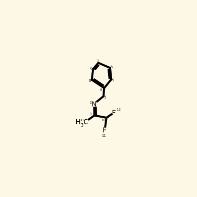 CC(=NCc1ccccc1)[C](F)F